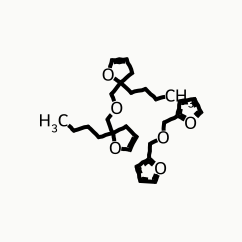 CCCCC1(COCC2(CCCC)CC=CO2)CC=CO1.c1coc(COCc2ccco2)c1